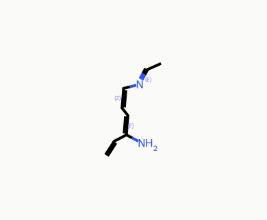 C=C\C(N)=C/C=C\N=C\C